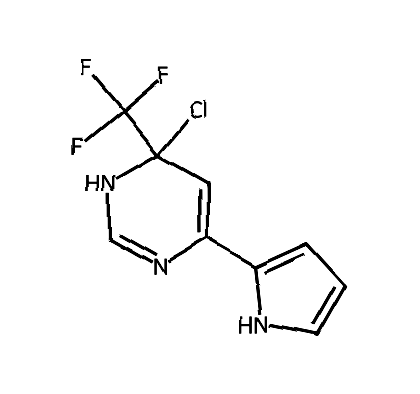 FC(F)(F)C1(Cl)C=C(c2ccc[nH]2)N=CN1